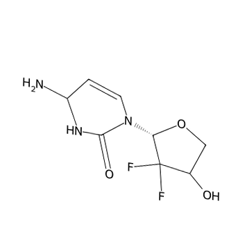 NC1C=CN([C@@H]2OCC(O)C2(F)F)C(=O)N1